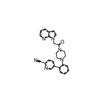 N#Cc1ccc(-c2ccccc2N2CCN(C(=O)Cn3ccc4cccnc43)CC2)cn1